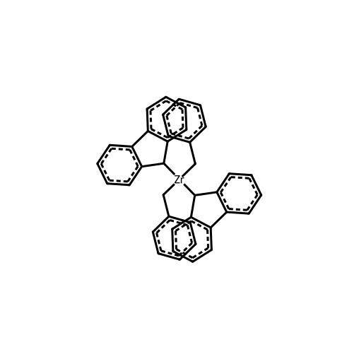 c1ccc([CH2][Zr]([CH2]c2ccccc2)([CH]2c3ccccc3-c3ccccc32)[CH]2c3ccccc3-c3ccccc32)cc1